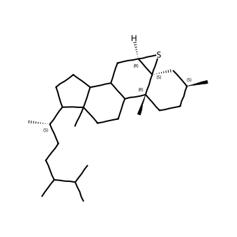 CC(C)C(C)CC[C@H](C)C1CCC2C3C[C@H]4S[C@]45C[C@@H](C)CC[C@]5(C)C3CCC21C